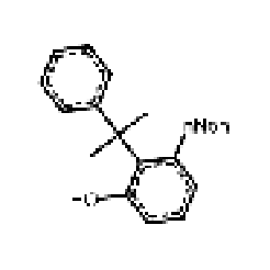 CCCCCCCCCc1cccc(O)c1C(C)(C)c1ccccc1